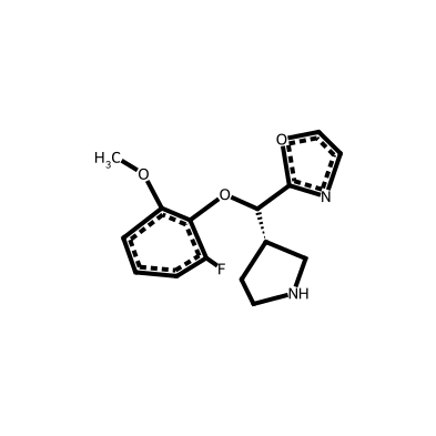 COc1cccc(F)c1OC(c1ncco1)[C@H]1CCNC1